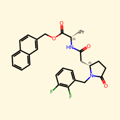 CC(C)[C@H](NC(=O)C[C@@H]1CCC(=O)N1Cc1cccc(F)c1F)C(=O)OCc1ccc2ccccc2c1